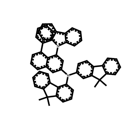 CC1(C)c2ccccc2-c2ccc(N(c3cc(-n4c5ccccc5c5ccccc54)c4c(-c5ccccc5)cccc4c3)c3cccc4c3-c3ccccc3C4(C)C)cc21